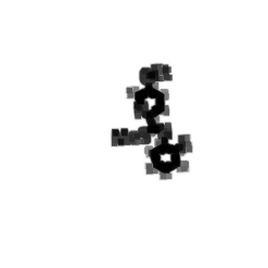 CCOc1ccc(C(=Nc2ccccc2F)SC)nc1